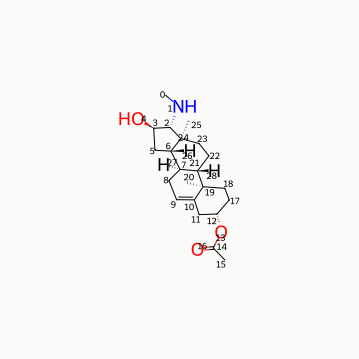 CN[C@H]1[C@H](O)C[C@H]2[C@@H]3CC=C4C[C@@H](OC(C)=O)CC[C@]4(C)[C@H]3CC[C@@]21C